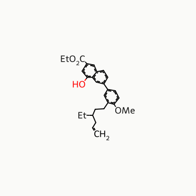 C=CCC(CC)CCc1cc(-c2ccc3cc(C(=O)OCC)cc(O)c3c2)ccc1OC